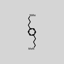 CNCCCc1ccc(CCCNC)cc1